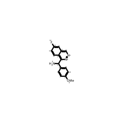 COc1ccc(C(N)c2nncc3cc(F)ccc23)cc1